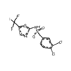 O=S(=O)(Nc1nnc(C(F)(F)F)s1)c1ccc(Cl)c(Cl)c1